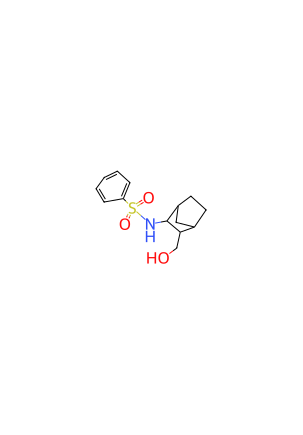 O=S(=O)(NC1C2CCC(C2)C1CO)c1ccccc1